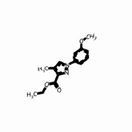 CCOC(=O)c1nn(-c2cccc(OC)c2)cc1C